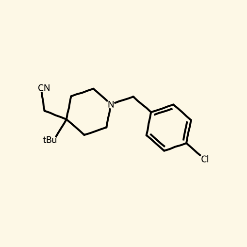 CC(C)(C)C1(CC#N)CCN(Cc2ccc(Cl)cc2)CC1